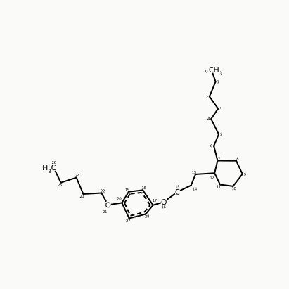 CCCCCCCC1CCCCC1CCCOc1ccc(OCCCCC)cc1